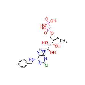 C/C=C(/COP(=O)(O)CP(=O)(O)O)[C@@H](O)[C@@H](O)[C@@H](O)n1cnc2c(NCc3ccccc3)nc(Cl)nc21